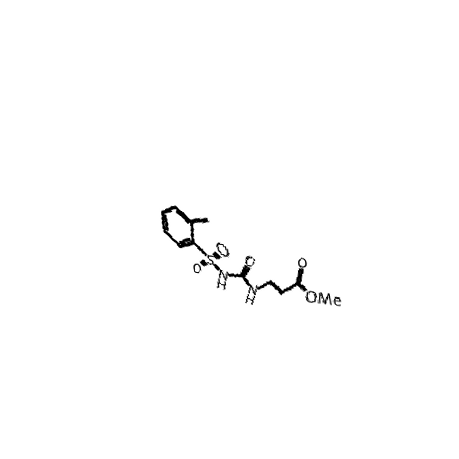 COC(=O)CCNC(=O)NS(=O)(=O)c1ccccc1C